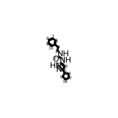 O=C(NCCc1ccccc1)Nc1cc(C2CCCC2)n[nH]1